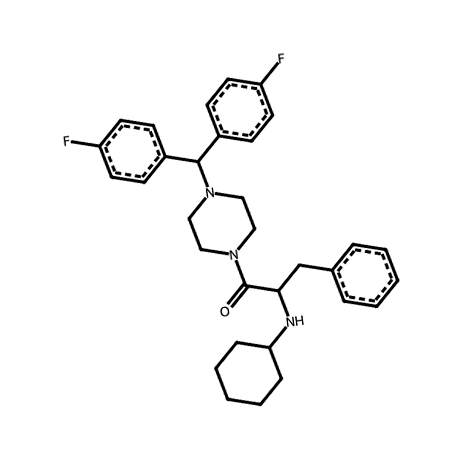 O=C(C(Cc1ccccc1)NC1CCCCC1)N1CCN(C(c2ccc(F)cc2)c2ccc(F)cc2)CC1